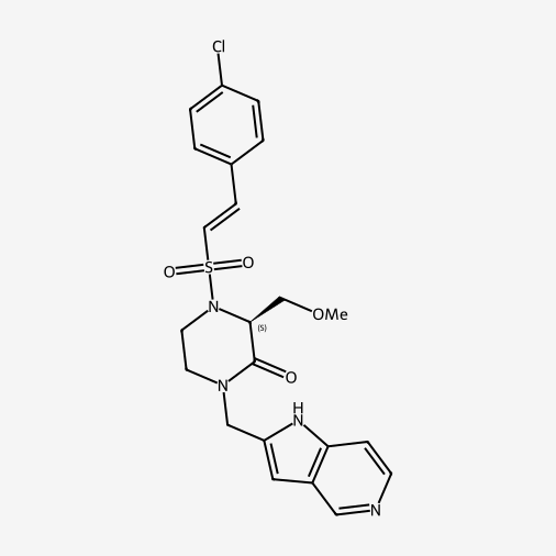 COC[C@H]1C(=O)N(Cc2cc3cnccc3[nH]2)CCN1S(=O)(=O)C=Cc1ccc(Cl)cc1